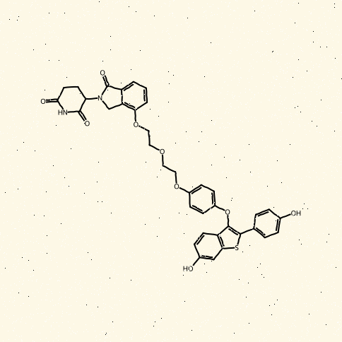 O=C1CCC(N2Cc3c(OCCOCCOc4ccc(Oc5c(-c6ccc(O)cc6)sc6cc(O)ccc56)cc4)cccc3C2=O)C(=O)N1